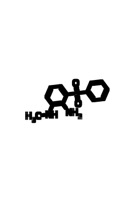 CNc1cccc(S(=O)(=O)c2ccccc2)c1N